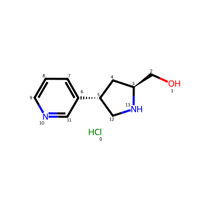 Cl.OC[C@@H]1C[C@@H](c2cccnc2)CN1